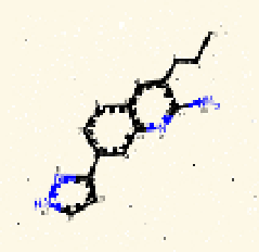 CCCc1cc2ccc(-c3cc[nH]n3)cc2nc1N